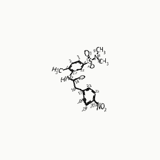 Cc1ccc(S(=O)(=O)N(C)C)cc1NC(=O)Cc1ccc([N+](=O)[O-])cc1